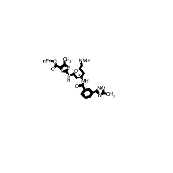 CCCOC(=O)c1sc(NC(=O)C[C@@H](CCCNC)NC(=O)c2cccc(-c3noc(C)n3)c2)nc1C